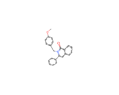 COc1ccc(Cn2c(-c3ccccc3)cc3ccccc3c2=O)cc1